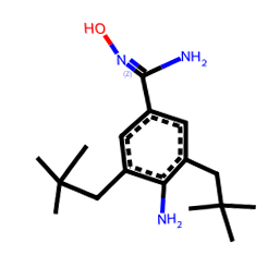 CC(C)(C)Cc1cc(/C(N)=N/O)cc(CC(C)(C)C)c1N